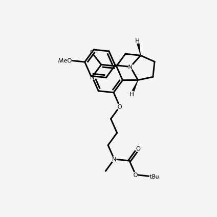 COc1ccc(N2[C@H]3CC[C@@H]2c2c(OCCCN(C)C(=O)OC(C)(C)C)cnc(F)c2C3)cc1